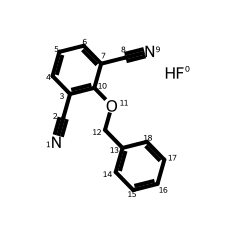 F.N#Cc1cccc(C#N)c1OCc1ccccc1